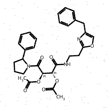 CC(=O)O[C@@H](C(=O)NCCc1nc(Cc2ccccc2)co1)[C@@H](OC(C)=O)C(=O)N1CCCC1c1ccccc1